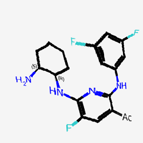 CC(=O)c1cc(F)c(N[C@@H]2CCCC[C@@H]2N)nc1Nc1cc(F)cc(F)c1